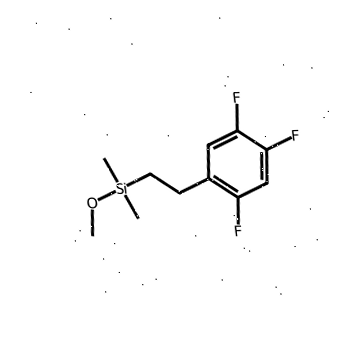 CO[Si](C)(C)CCc1cc(F)c(F)cc1F